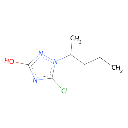 CCCC(C)n1nc(O)nc1Cl